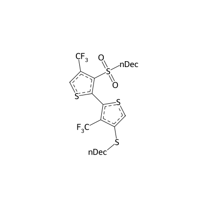 CCCCCCCCCCSc1csc(-c2scc(C(F)(F)F)c2S(=O)(=O)CCCCCCCCCC)c1C(F)(F)F